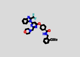 COc1ccccc1CNC(=O)[C@H]1CC[C@H](Oc2cc(-n3c(C(F)F)nc4ccccc43)nc(CN3CCOCC3)n2)CC1